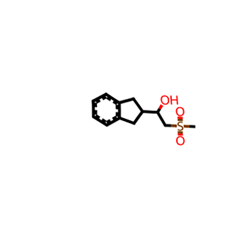 CS(=O)(=O)CC(O)C1Cc2ccccc2C1